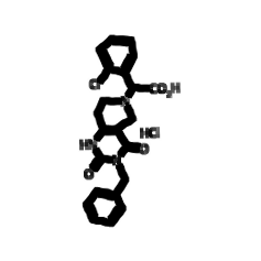 Cl.O=C(O)C(c1ccccc1Cl)N1CCc2[nH]c(=O)n(Cc3ccccc3)c(=O)c2C1